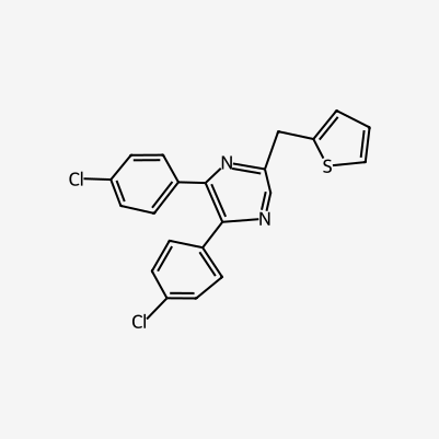 Clc1ccc(-c2ncc(Cc3cccs3)nc2-c2ccc(Cl)cc2)cc1